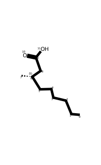 CCCCCC[C@H](C)CC(=O)O